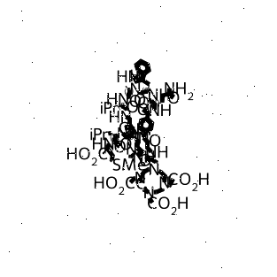 CSCC[C@H](NC(=O)[C@H](CC(C)C)NC(=O)[C@H](Cc1c[nH]cn1)NC(=O)CNC(=O)[C@@H](NC(=O)[C@H](C)NC(=O)[C@H](Cc1c[nH]c2ccccc12)NC(=O)[C@H](CCC(N)=O)NC(=O)c1ccc(NC(=O)CNC(=O)CN2CCN(CC(=O)O)CCN(CC(=O)O)CCN(CC(=O)O)CC2)cc1)C(C)C)C(=O)O